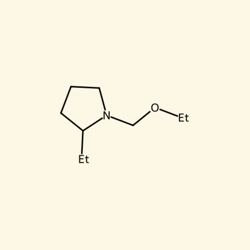 CCOCN1CCCC1CC